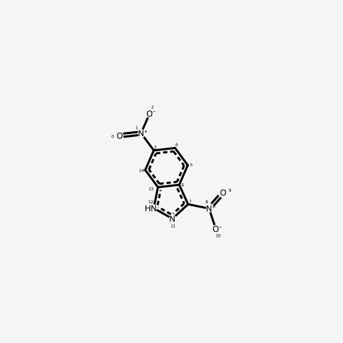 O=[N+]([O-])c1ccc2c([N+](=O)[O-])n[nH]c2c1